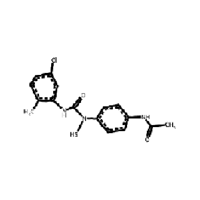 CC(=O)Nc1ccc(N(S)C(=O)Nc2cc(Cl)ccc2C)cc1